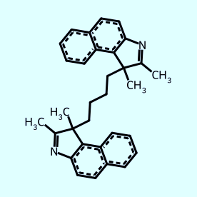 CC1=Nc2ccc3ccccc3c2C1(C)CCCCC1(C)C(C)=Nc2ccc3ccccc3c21